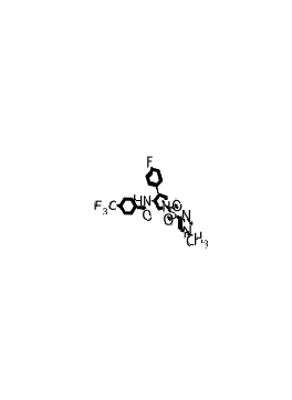 Cn1cnc(S(=O)(=O)N2C[C@H](NC(=O)C3CCC(C(F)(F)F)CC3)[C@@H](c3ccc(F)cc3)C2)c1